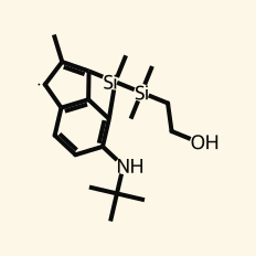 CC1=C2c3c(ccc(NC(C)(C)C)c3[Si]2(C)[Si](C)(C)CCO)[CH]1